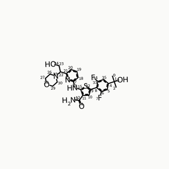 CC(C)(O)c1cc(F)c(-c2cc(C(N)=O)c(Nc3cccc(C(CO)N4CCOCC4)n3)s2)c(F)c1